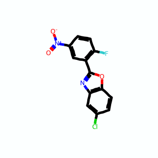 O=[N+]([O-])c1ccc(F)c(-c2nc3cc(Cl)ccc3o2)c1